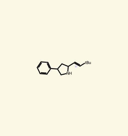 CC(C)(C)/C=C/C1CC(c2ccccc2)CN1